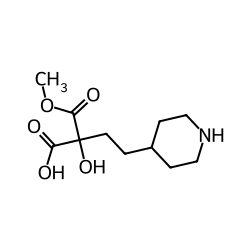 COC(=O)C(O)(CCC1CCNCC1)C(=O)O